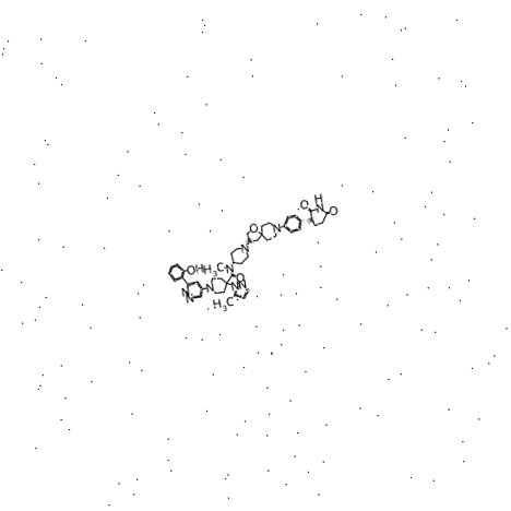 Cc1ccnn1C1(C(=O)N(C)C2CCN([C@H]3COC4(CCN(c5ccc([C@H]6CCC(=O)NC6=O)cc5)CC4)C3)CC2)CCN(c2cnnc(-c3ccccc3O)c2)CC1